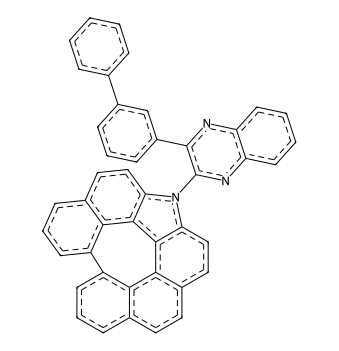 c1ccc(-c2cccc(-c3nc4ccccc4nc3-n3c4ccc5cccc6c5c4c4c5c(ccc7cccc-6c75)ccc43)c2)cc1